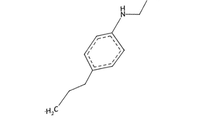 [CH2]CCc1ccc(NCC)cc1